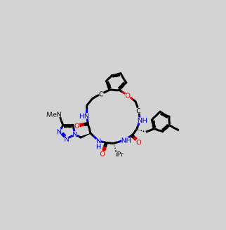 CNc1cn(C[C@@H]2NC(=O)[C@@H](C(C)C)NC(=O)[C@@H](Cc3cccc(C)c3)NCCOc3ccccc3CCCNC2=O)nn1